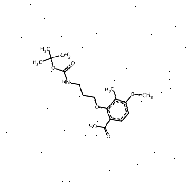 COc1ccc(C(=O)O)c(OCCCNC(=O)OC(C)(C)C)c1C